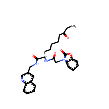 CCC(=O)CCCCC[C@H](NC(=O)Cn1c(=O)oc2ccccc21)C(=O)NCc1cnc2ccccc2c1